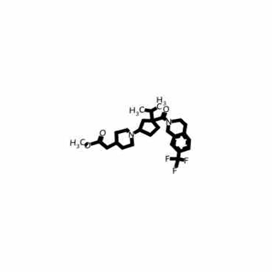 COC(=O)CC1CCN(C2CCC(C(=O)N3CCc4ccc(C(F)(F)F)cc4C3)(C(C)C)C2)CC1